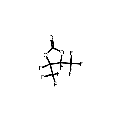 O=C1OC(F)(C(F)(F)F)[C@@](F)(C(F)(F)F)O1